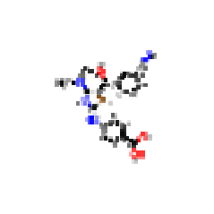 CN(C)c1nc(Nc2ccc(C(=O)O)cc2)sc1C(=O)c1cccc(C#N)c1